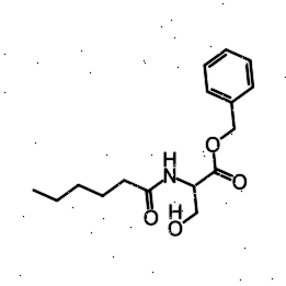 CCCCCC(=O)NC(CO)C(=O)OCc1ccccc1